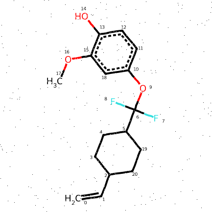 C=CC1CCC(C(F)(F)Oc2ccc(O)c(OC)c2)CC1